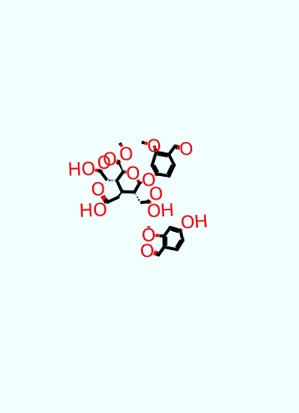 COC(=O)[C@H]1O[C@@H](Oc2ccc(C=O)c(OC)c2)[C@H](CC(=O)O)[C@@H](CC(=O)O)[C@@H]1CC(=O)O.COc1cc(O)ccc1C=O